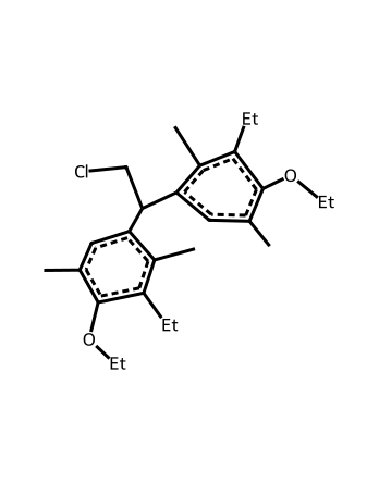 CCOc1c(C)cc(C(CCl)c2cc(C)c(OCC)c(CC)c2C)c(C)c1CC